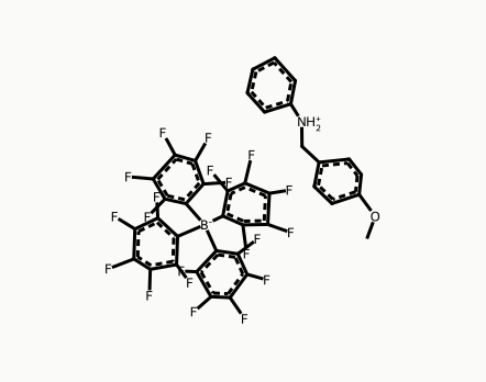 COc1ccc(C[NH2+]c2ccccc2)cc1.Fc1c(F)c(F)c([B-](c2c(F)c(F)c(F)c(F)c2F)(c2c(F)c(F)c(F)c(F)c2F)c2c(F)c(F)c(F)c(F)c2F)c(F)c1F